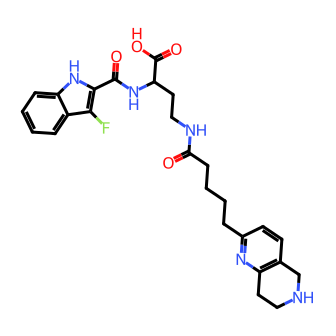 O=C(CCCCc1ccc2c(n1)CCNC2)NCCC(NC(=O)c1[nH]c2ccccc2c1F)C(=O)O